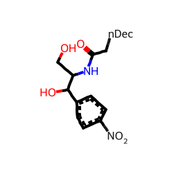 CCCCCCCCCCCC(=O)NC(CO)C(O)c1ccc([N+](=O)[O-])cc1